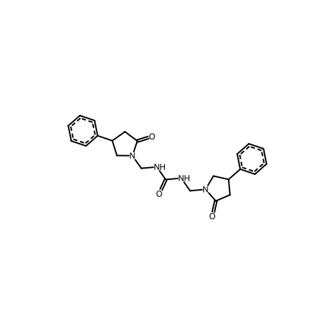 O=C(NCN1CC(c2ccccc2)CC1=O)NCN1CC(c2ccccc2)CC1=O